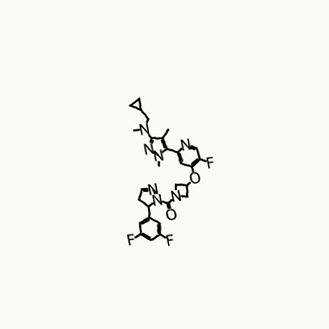 Cc1c(N(C)CC2CC2)nn(C)c1-c1cc(OC2CN(C(=O)N3N=CCC3c3cc(F)cc(F)c3)C2)c(F)cn1